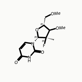 COC[C@H]1O[C@@H](n2ccc(=O)[nH]c2=O)[C@](C)(F)C1OC